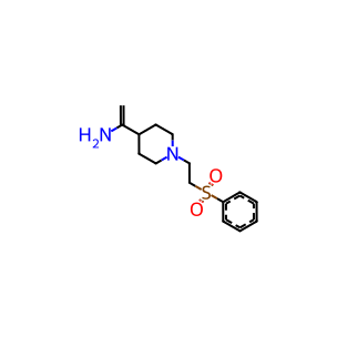 C=C(N)C1CCN(CCS(=O)(=O)c2ccccc2)CC1